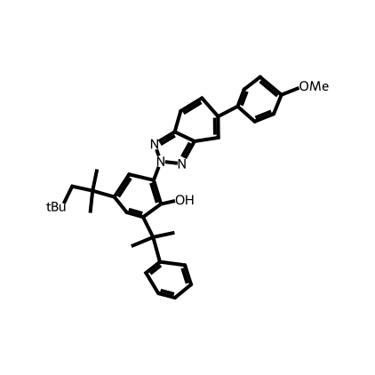 COc1ccc(-c2ccc3nn(-c4cc(C(C)(C)CC(C)(C)C)cc(C(C)(C)c5ccccc5)c4O)nc3c2)cc1